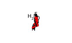 CC(COc1cccc2cc(-c3nc4cc5c(nc4n3C)CCN(CC(N)CF)C5=O)n(CC3CC3)c12)n1ccnc1